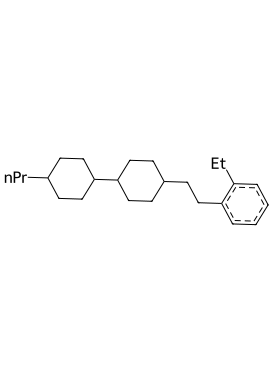 CCCC1CCC(C2CCC(CCc3ccccc3CC)CC2)CC1